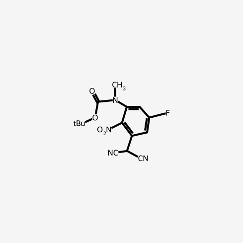 CN(C(=O)OC(C)(C)C)c1cc(F)cc(C(C#N)C#N)c1[N+](=O)[O-]